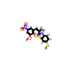 COc1cc([N+](=O)[O-])cc2c1OC1(Sc3cc(SC)ccc3N1C)C(C)=C2